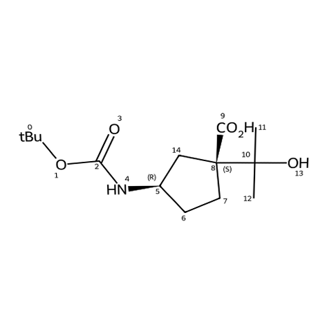 CC(C)(C)OC(=O)N[C@@H]1CC[C@@](C(=O)O)(C(C)(C)O)C1